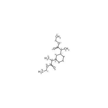 CCOC(=O)C(C)C1CCCN(C(C)C(=O)OCC)C1